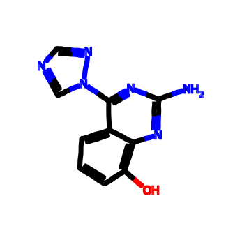 Nc1nc(-n2cncn2)c2cccc(O)c2n1